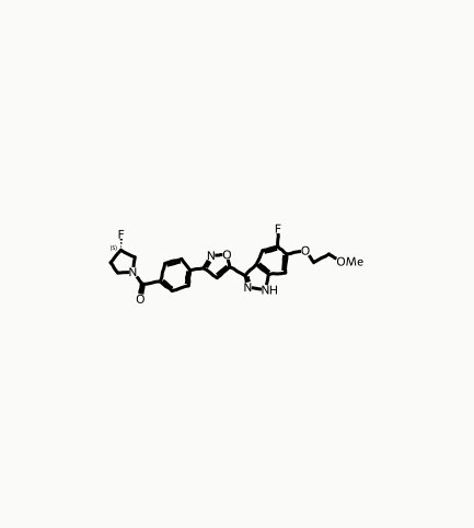 COCCOc1cc2[nH]nc(-c3cc(-c4ccc(C(=O)N5CC[C@H](F)C5)cc4)no3)c2cc1F